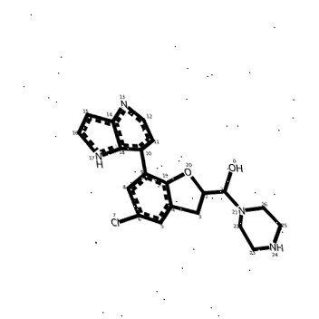 OC(C1Cc2cc(Cl)cc(-c3ccnc4cc[nH]c34)c2O1)N1CCNCC1